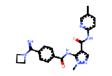 Cc1ccc(NC(=O)c2cnn(C)c2NC(=O)c2ccc(C(=N)N3CCC3)cc2)nc1